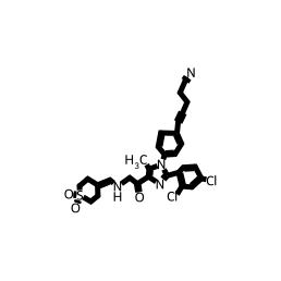 Cc1c(C(=O)CNC=C2CCS(=O)(=O)CC2)nc(-c2ccc(Cl)cc2Cl)n1-c1ccc(C#CCCC#N)cc1